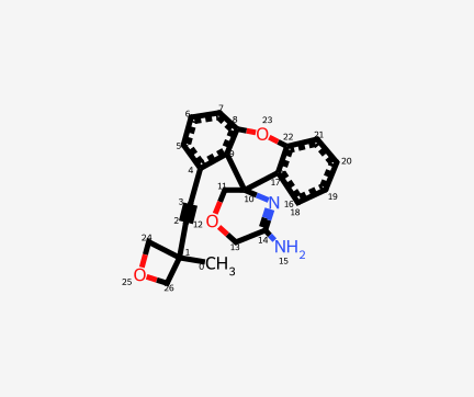 CC1(C#Cc2cccc3c2C2(COCC(N)=N2)c2ccccc2O3)COC1